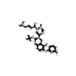 C=C(/N=C\N(C)NC(=O)/C=C/CN(C)C)N(Cc1c(C)ccc(Oc2cccc(C)n2)c1F)C(=O)OC(C)(C)C